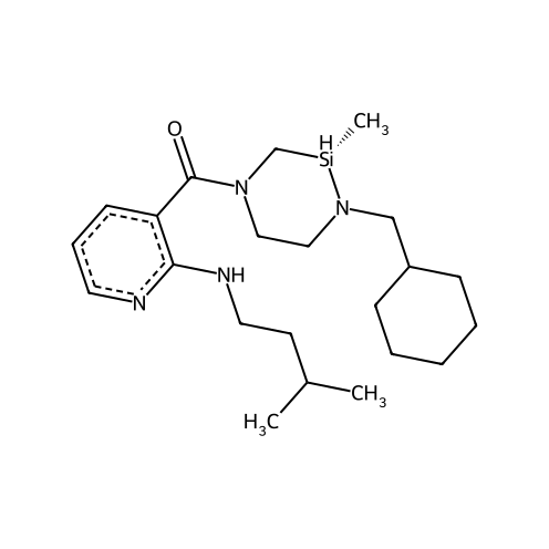 CC(C)CCNc1ncccc1C(=O)N1CCN(CC2CCCCC2)[Si@@H](C)C1